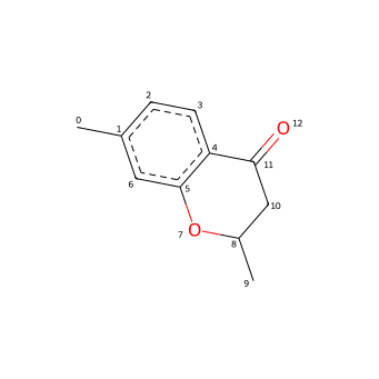 Cc1ccc2c(c1)OC(C)CC2=O